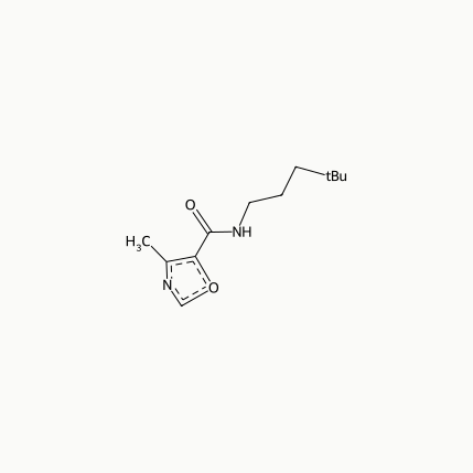 Cc1ncoc1C(=O)NCCCC(C)(C)C